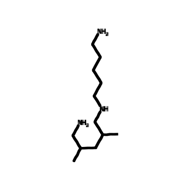 CC(CN)CC(C)CNCCCCCN